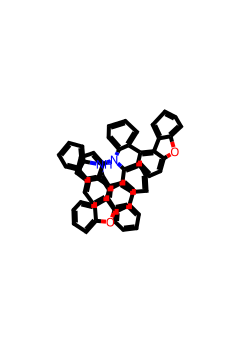 c1ccc(-c2ccc3c([nH]c4ccccc43)c2-c2ccccc2N(c2ccccc2-c2cccc3oc4ccccc4c23)c2ccccc2-c2cccc3oc4ccccc4c23)cc1